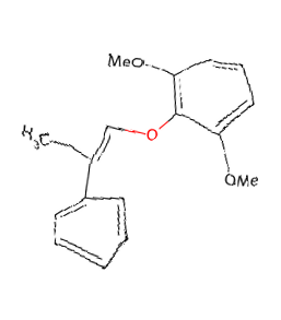 COc1cccc(OC)c1OC=C(C)c1ccccc1